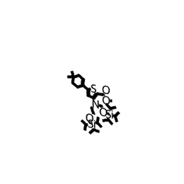 COC(=O)c1sc(C2=CCC(C)(C)CC2)cc1N(CCO[Si](C(C)C)(C(C)C)C(C)C)CO[Si](C(C)C)(C(C)C)C(C)C